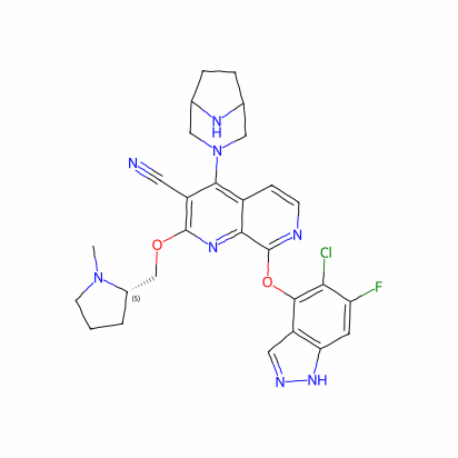 CN1CCC[C@H]1COc1nc2c(Oc3c(Cl)c(F)cc4[nH]ncc34)nccc2c(N2CC3CCC(C2)N3)c1C#N